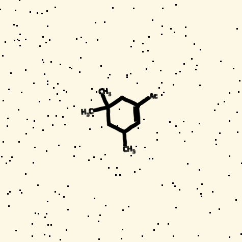 CC(=O)C1=CC(C)CC(C)(C)C1